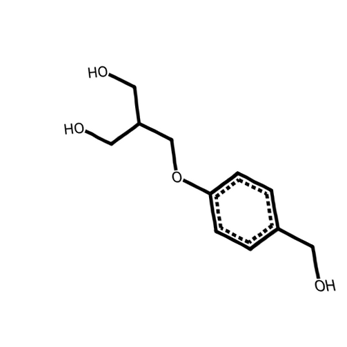 OCc1ccc(OCC(CO)CO)cc1